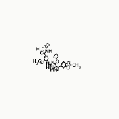 COc1cc(C(=O)NC2(C)COC2)ccc1Nc1nc(OC2CCCC2)c2c(-c3ccc4nc(C)oc4c3)c[nH]c2n1